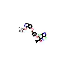 CC(C)Oc1nccc2ccc(OCC34CCC(OCc5c(-c6c(Cl)cncc6Cl)noc5C5CC5)(CC3)CC4)cc12